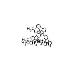 CC(C)c1cccc2c1sc1c(N(c3ccc4c(c3)C(C)(C)c3ccccc3-4)c3ccc4c(c3)C(C)(C)c3cc(C(C)(C)C)ccc3-4)cccc12